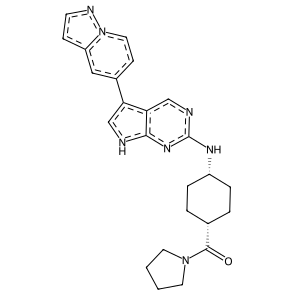 O=C([C@H]1CC[C@@H](Nc2ncc3c(-c4ccn5nccc5c4)c[nH]c3n2)CC1)N1CCCC1